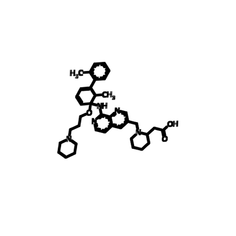 Cc1ccccc1C1=CC=CC(Nc2nccc3cc(CN4CCCCC4CC(=O)O)cnc23)(OCCCN2CCCCC2)C1C